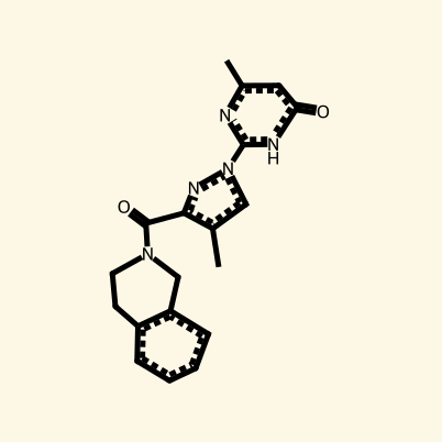 Cc1cc(=O)[nH]c(-n2cc(C)c(C(=O)N3CCc4ccccc4C3)n2)n1